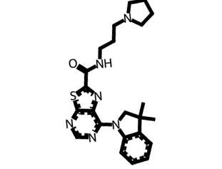 CC1(C)CN(c2ncnc3sc(C(=O)NCCCN4CCCC4)nc23)c2ccccc21